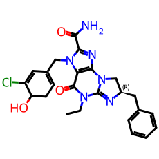 CCN1C(=O)c2c(nc(C(N)=O)n2CC2=CCC(O)C(Cl)=C2)N2C[C@@H](Cc3ccccc3)N=C12